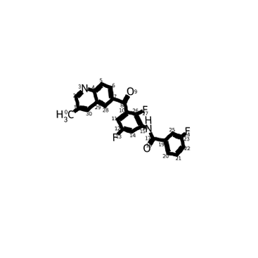 Cc1cnc2ccc(C(=O)c3cc(F)cc(NC(=O)c4cccc(F)c4)c3F)cc2c1